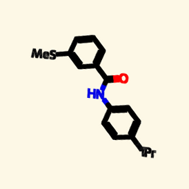 CSc1cccc(C(=O)Nc2ccc(C(C)C)cc2)c1